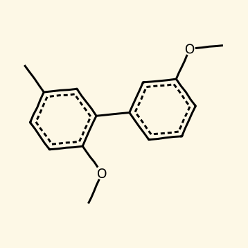 COc1cccc(-c2cc(C)ccc2OC)c1